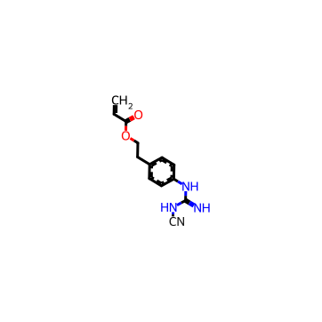 C=CC(=O)OCCc1ccc(NC(=N)NC#N)cc1